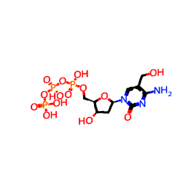 Nc1nc(=O)n([C@H]2C[C@@H](O)[C@@H](COP(=O)(O)OP(=O)(O)OP(=O)(O)O)O2)cc1CO